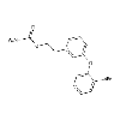 CCCc1ccccc1Oc1cccc(CCOC(=O)NC(C)=O)c1